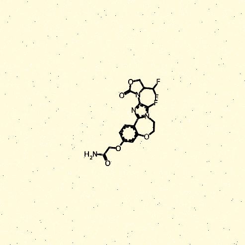 NC(=O)COc1ccc2c(c1)OCCn1c-2nc(N2C(=O)OCC2C(F)F)c1F